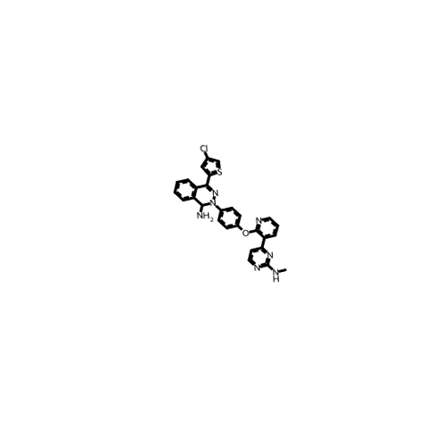 CNc1nccc(-c2cccnc2Oc2ccc(N3N=C(c4cc(Cl)cs4)c4ccccc4C3N)cc2)n1